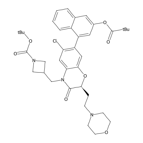 CC(C)(C)OC(=O)N1CC(CN2C(=O)[C@H](CCN3CCOCC3)Oc3cc(-c4cc(OC(=O)C(C)(C)C)cc5ccccc45)c(Cl)cc32)C1